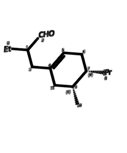 CCC(C=O)CC1=CC[C@H](C(C)C)[C@H](C)C1